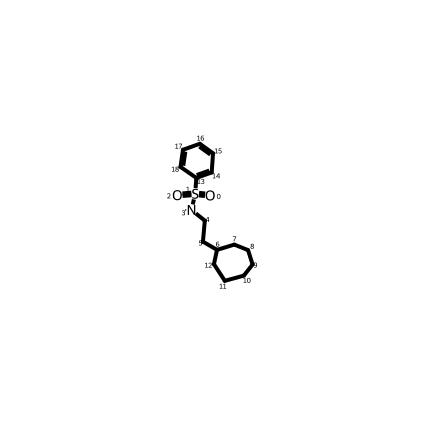 O=S(=O)([N]CCC1CCCCCC1)c1ccccc1